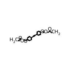 C=CC(=O)COCOc1ccc(C#Cc2ccc(OCOC(=O)C=C)cc2)cc1